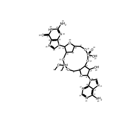 CO[PH]1(C)OCC2OC(n3cnc4c(N)ncnc43)C(O)C2OP(=O)(O)OCC2CC(O1)C(n1cnc3c(=O)[nH]c(N)nc31)O2